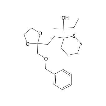 CCC(C)(O)C1(CCC2(COCc3ccccc3)OCCO2)CCCSS1